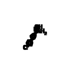 N/C(=N\O)C1C2C=C(c3ccc(Cl)cc3)CC21